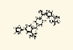 CS(=O)(=O)Nc1cnn(C(=O)N2CCN(Cc3ccc(-c4nccs4)cc3C(F)(F)F)CC2)c1